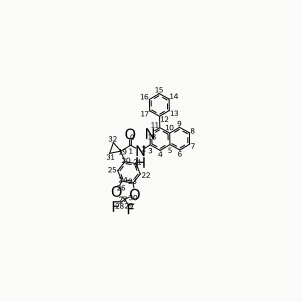 O=C(Nc1cc2ccccc2c(-c2ccccc2)n1)C1(c2ccc3c(c2)OC(F)(F)O3)CC1